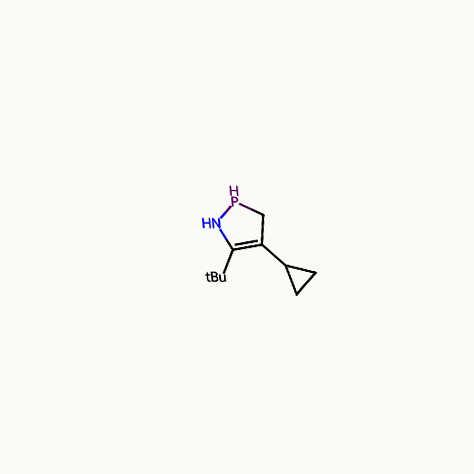 CC(C)(C)C1=C(C2CC2)CPN1